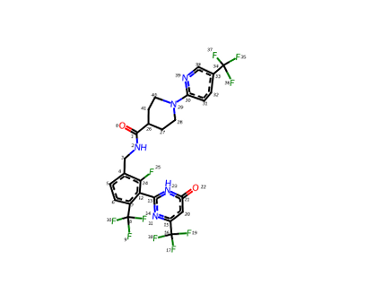 O=C(NCc1ccc(C(F)(F)F)c(-c2nc(C(F)(F)F)cc(=O)[nH]2)c1F)C1CCN(c2ccc(C(F)(F)F)cn2)CC1